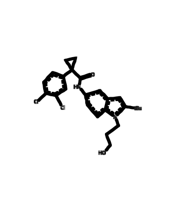 CC(C)(C)c1cc2cc(NC(=O)C3(c4ccc(Cl)c(Cl)c4)CC3)ccc2n1CCCO